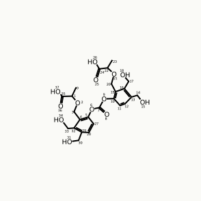 CC(OCc1c(OC(=O)Oc2ccc(CO)c(CO)c2COC(C)C(=O)O)ccc(CO)c1CO)C(=O)O